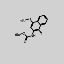 CCCCOc1cc(NC(=O)OC(C)(C)C)c(I)c2ccccc12